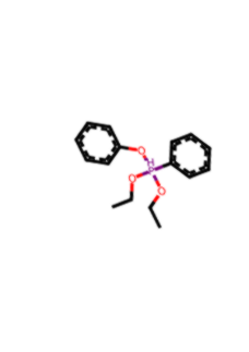 CCO[PH](OCC)(Oc1ccccc1)c1ccccc1